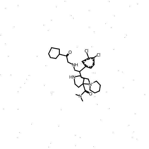 CN(C)C(=O)C1([N+]2(CCC(CNCC(=O)C3CCCCC3)c3ccc(Cl)c(Cl)c3)CCCCC2)CCNCC1